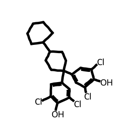 Oc1c(Cl)cc(C2(c3cc(Cl)c(O)c(Cl)c3)CCC(C3CCCCC3)CC2)cc1Cl